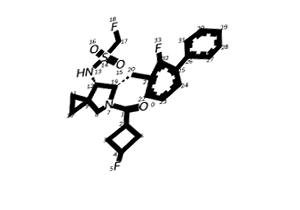 O=C(C1CC(F)C1)N1CC2(CC2)[C@H](NS(=O)(=O)CF)[C@@H]1Cc1cccc(-c2ccccc2)c1F